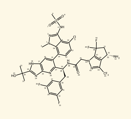 Cn1nc(NS(C)(=O)=O)c2c(Cl)ccc(-c3cc4[nH]c(C(C)(C)O)nc4nc3[C@H](Cc3cc(F)cc(F)c3)NC(=O)Cn3nc(C(F)(F)F)c4c3C(F)(F)C[C@@H]4N)c21